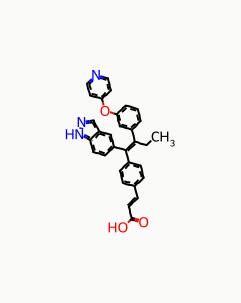 CCC(=C(c1ccc(C=CC(=O)O)cc1)c1ccc2[nH]ncc2c1)c1cccc(Oc2ccncc2)c1